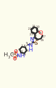 CS(=O)(=O)N[C@H]1CC[C@H](CNc2nc3c(s2)CCOc2ccccc2-3)CC1